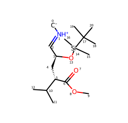 [CH2-]/[NH+]=C/[C@H](C[C@H](C(=O)OC)C(C)C)O[Si](C)(C)C(C)(C)C